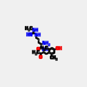 CNC(=N)NCCCC(N)C(=O)NC(Cc1c(C)cc(O)cc1C)C(C)=O